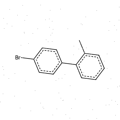 Cc1ccccc1-c1ccc(Br)cc1